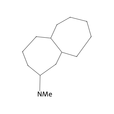 CNC1CCCC2CCCCCC2C1